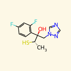 C[C@H](S)[C@@](O)(Cn1cncn1)c1ccc(F)cc1F